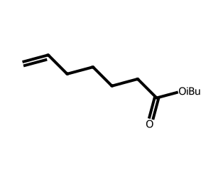 C=CCCCCC(=O)OCC(C)C